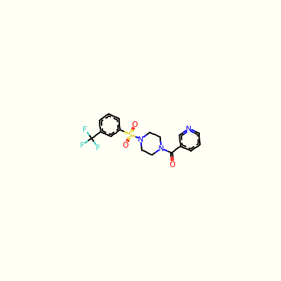 O=C(c1cccnc1)N1CCN(S(=O)(=O)c2cccc(C(F)(F)F)c2)CC1